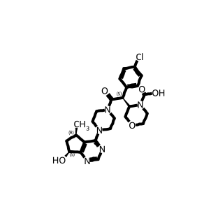 C[C@@H]1C[C@H](O)c2ncnc(N3CCN(C(=O)[C@@H](c4ccc(Cl)cc4)C4COCCN4C(=O)O)CC3)c21